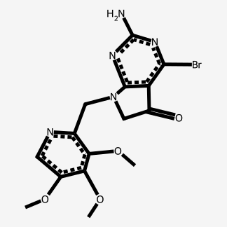 COc1cnc(CN2CC(=O)c3c(Br)nc(N)nc32)c(OC)c1OC